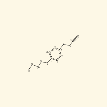 [C]#CCCc1ccc(CCCCC)cc1